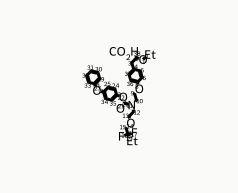 CCOC(Cc1ccc(OCCN(CCOCC(F)(F)CC)C(=O)Oc2ccc(Oc3ccccc3)cc2)cc1)C(=O)O